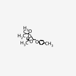 C=C(C)C(=O)OCC(COc1ccc(C)cc1)OC(C)=O